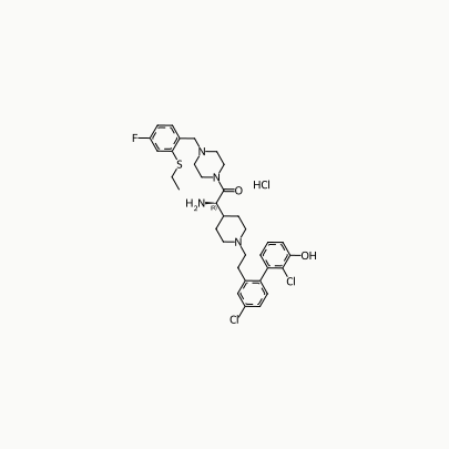 CCSc1cc(F)ccc1CN1CCN(C(=O)[C@H](N)C2CCN(CCc3cc(Cl)ccc3-c3cccc(O)c3Cl)CC2)CC1.Cl